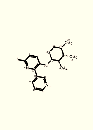 CC(=O)O[C@@H]1[C@@H](OC(C)=O)[C@@H](Oc2ccc(C)nc2-c2cccnc2)SC[C@H]1OC(C)=O